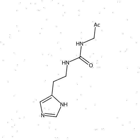 CC(=O)CNC(=O)NCCc1cnc[nH]1